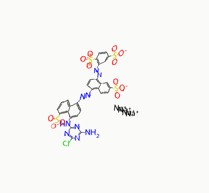 Nc1nc(Cl)nc(Nc2ccc(N=Nc3ccc(N=Nc4cc(S(=O)(=O)[O-])ccc4S(=O)(=O)[O-])c4cc(S(=O)(=O)[O-])ccc34)c3cccc(S(=O)(=O)[O-])c23)n1.[Na+].[Na+].[Na+].[Na+]